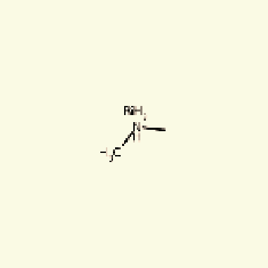 CNI.[BiH3]